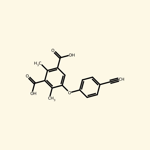 C#Cc1ccc(Oc2cc(C(=O)O)c(C)c(C(=O)O)c2C)cc1